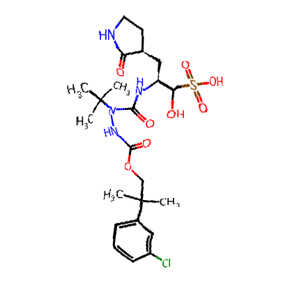 CC(C)(COC(=O)NN(C(=O)N[C@@H](C[C@@H]1CCNC1=O)C(O)S(=O)(=O)O)C(C)(C)C)c1cccc(Cl)c1